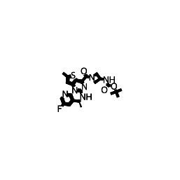 Cc1cc2nc(N[C@@H](C)c3cncc(F)c3)nc(C(=O)N3CC(NC(=O)OC(C)(C)C)C3)c2s1